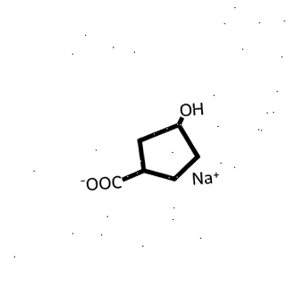 O=C([O-])C1CCC(O)C1.[Na+]